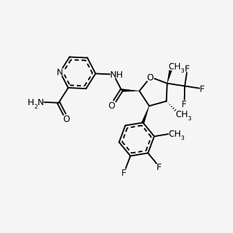 Cc1c([C@H]2[C@@H](C(=O)Nc3ccnc(C(N)=O)c3)O[C@](C)(C(F)(F)F)[C@@H]2C)ccc(F)c1F